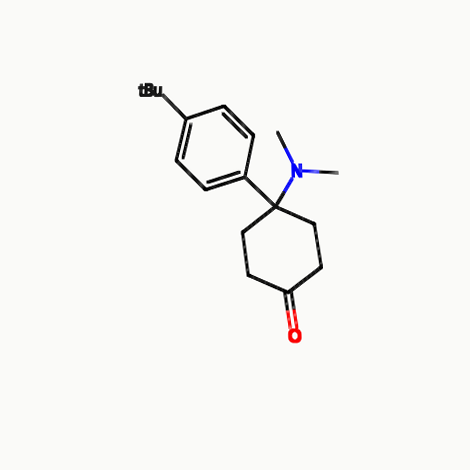 CN(C)C1(c2ccc(C(C)(C)C)cc2)CCC(=O)CC1